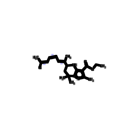 CCOC(=O)c1c(C)nn2c1NC(/C(C)=C/C=C\C=C(/C)Cl)CC2(C)C